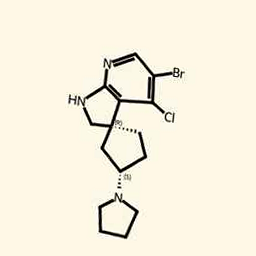 Clc1c(Br)cnc2c1[C@]1(CC[C@H](N3CCCC3)C1)CN2